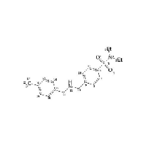 CCN(CC)S(=O)(=O)c1ccc(CNCc2ccc(C(F)(F)F)cc2)cc1